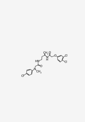 C=C(CCNC(=O)CN(C)c1ccc(Cl)cc1)NC(=O)COc1ccc(Cl)c(Cl)c1